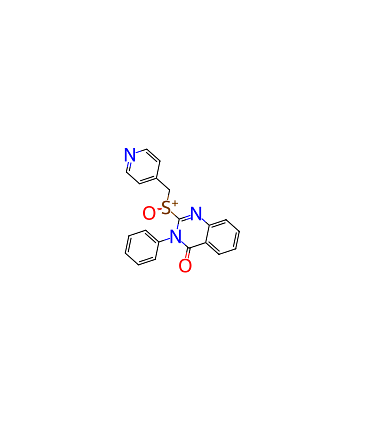 O=c1c2ccccc2nc([S+]([O-])Cc2ccncc2)n1-c1ccccc1